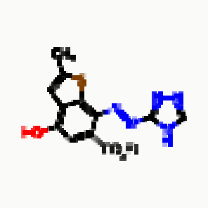 CCOC(=O)c1cc(O)c2cc(C)sc2c1/N=N/c1nnc[nH]1